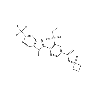 CCS(=O)(=O)c1cc(C(=O)N=S2(=O)CCC2)cnc1-c1nc2cc(C(F)(F)F)ncc2n1C